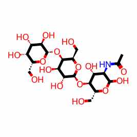 CC(=O)N[C@H]1C(O)O[C@H](CO)[C@@H](O[C@@H]2O[C@H](CO)[C@H](O[C@@H]3O[C@H](CO)[C@H](O)[C@H](O)[C@H]3O)[C@H](O)[C@H]2O)[C@@H]1O